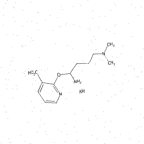 CN(C)CCCC(N)Oc1ncccc1C(=O)O.[KH]